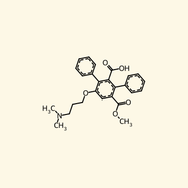 COC(=O)c1[c]c(OCCCN(C)C)c(-c2ccccc2)c(C(=O)O)c1-c1ccccc1